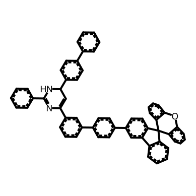 C1=C(c2cccc(-c3ccc(-c4ccc5c(c4)-c4ccccc4C54c5ccccc5Oc5ccccc54)cc3)c2)N=C(c2ccccc2)NC1c1ccc(-c2ccccc2)cc1